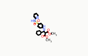 COC(=O)C(C(=O)OC)C(Nc1ccc(S(=O)(=O)Nc2ccccn2)cc1)C1CCCCC1